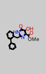 COC(=O)c1nc(Cc2ccccc2-c2ccccc2)[nH]c(=O)c1O